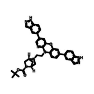 CC(C)(C)OC(=O)N1C[C@H]2C[C@@H]1CN2CCN1c2ccc(-c3ccc4[nH]ncc4c3)cc2Oc2cc(-c3ccc4[nH]ncc4c3)cnc21